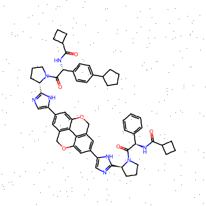 O=C(N[C@@H](C(=O)N1CCC[C@H]1c1ncc(-c2cc3c4c(c2)OCc2cc(-c5cnc([C@@H]6CCCN6C(=O)[C@H](NC(=O)C6CCC6)c6ccc(C7CCCC7)cc6)[nH]5)cc(c2-4)OC3)[nH]1)c1ccccc1)C1CCC1